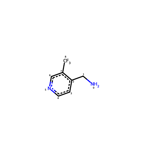 NCc1ccncc1C(F)(F)F